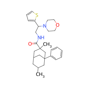 CC1CC2CC(C)(C(=O)NCC(c3cccs3)N3CCOCC3)CC(c3ccccc3)(C1)C2